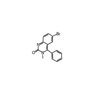 Cn1c(-c2ccccc2)c2cc(Br)ccc2nc1=O